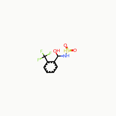 O=[SH](=O)NC(O)c1ccccc1C(F)(F)F